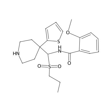 CCCS(=O)(=O)C(NC(=O)c1ccccc1OC)C1(c2cccs2)CCNCC1